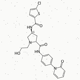 O=C(N[C@H]1CC(C(=O)Nc2ccc(-n3ccccc3=O)cc2)N(CCO)C1)c1ccc(Cl)s1